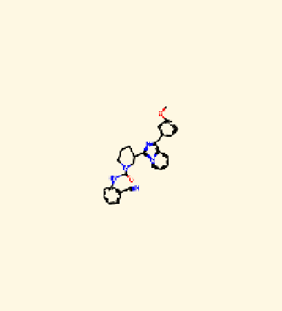 COc1cccc(-c2nc(C3CCCN(C(=O)Nc4ccccc4C#N)C3)n3ccccc23)c1